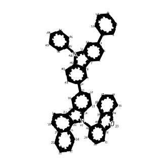 c1ccc(-c2ccc3c4cc(-c5ccc6c(c5)c5ccc7ccccc7c5n6-c5cccc6oc7ccccc7c56)ccc4n(-c4ccccc4)c3c2)cc1